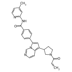 C=CC(=O)N1CCC(c2cc(-c3ccc(C(=O)Nc4cc(C)ccn4)cc3)n3cnccc23)C1